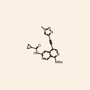 CNc1ncc(C#Cc2cn(C)nn2)c2cc(NC(=O)C3CC3)ncc12